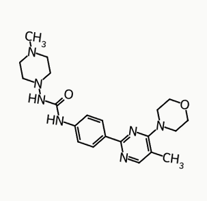 Cc1cnc(-c2ccc(NC(=O)NN3CCN(C)CC3)cc2)nc1N1CCOCC1